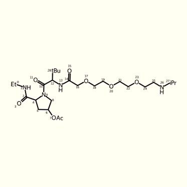 CCNC(=O)C1CC(OC(C)=O)CN1C(=O)C(NC(=O)COCCOCCOCCNC(C)C)C(C)(C)C